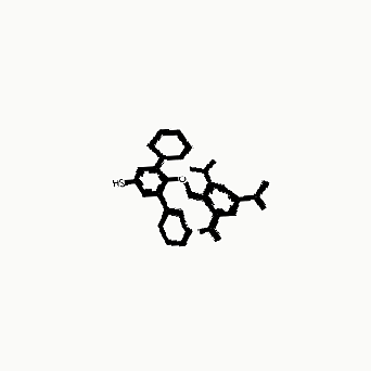 CC(C)c1cc(C(C)C)c(COc2c(C3CCCCC3)cc(S)cc2C2CCCCC2)c(C(C)C)c1